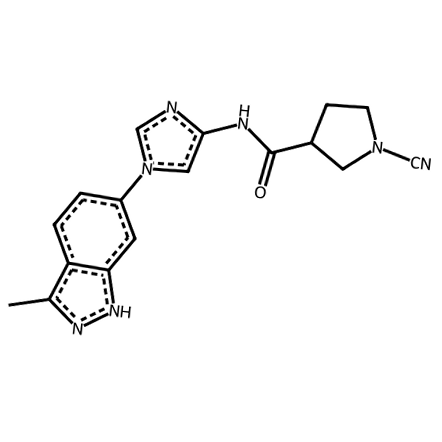 Cc1n[nH]c2cc(-n3cnc(NC(=O)C4CCN(C#N)C4)c3)ccc12